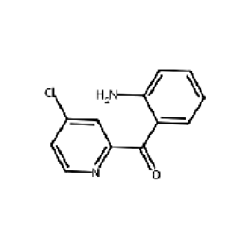 Nc1ccccc1C(=O)c1cc(Cl)ccn1